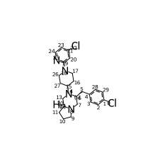 Clc1ccc(C[C@H]2CN3CCC[C@H]3CN2C2CCN(c3cc(Cl)ccn3)CC2)cc1